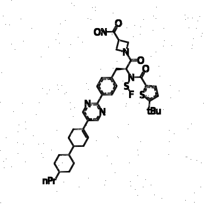 CCCC1CCC(C2CC=C(c3cnc(-c4ccc(C[C@@H](C(=O)N5CC(C(=O)N=O)C5)N(SF)C(=O)c5ccc(C(C)(C)C)s5)cc4)nc3)CC2)CC1